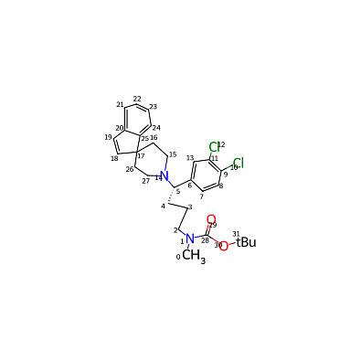 CN(CCC[C@@H](c1ccc(Cl)c(Cl)c1)N1CCC2(C=Cc3ccccc32)CC1)C(=O)OC(C)(C)C